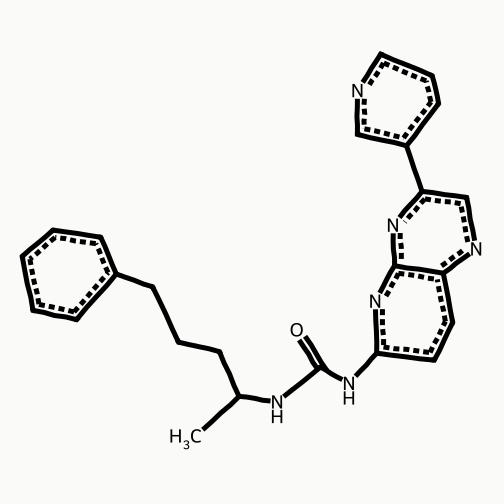 CC(CCCc1ccccc1)NC(=O)Nc1ccc2ncc(-c3cccnc3)nc2n1